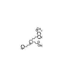 COc1ccc2nccc(CCC[C@@H]3CCN(CCCc4cccnc4)C[C@@H]3CCC(=O)O)c2c1